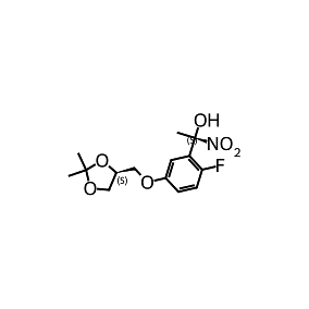 CC1(C)OC[C@H](COc2ccc(F)c([C@](C)(O)[N+](=O)[O-])c2)O1